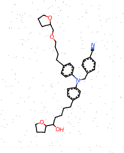 N#Cc1ccc(CN(c2ccc(CCCCOCC3CCCO3)cc2)c2ccc(CCCCC(O)C3CCCO3)cc2)cc1